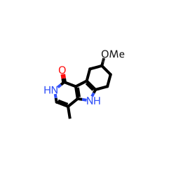 COC1CCc2[nH]c3c(C)c[nH]c(=O)c3c2C1